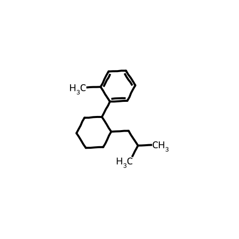 Cc1ccccc1C1CCCCC1CC(C)C